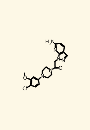 COc1cc(N2CCN(C(=O)Cn3ncc4ccc(N)nc43)CC2)ccc1Cl